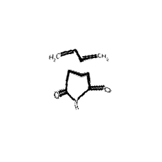 C=CC=C.O=C1CCC(=O)N1